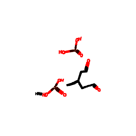 CC(CC=O)CC=O.O=S(O)O.O=S(O)O.[NaH]